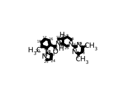 Cc1cc(C)nc(N2CC[C@@H]3CN(C(=O)c4cccc(C)c4-n4cccn4)[C@@H]3C2)n1